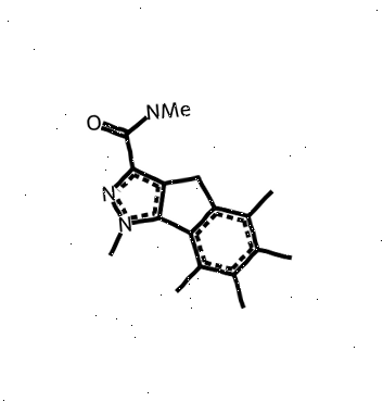 CNC(=O)c1nn(C)c2c1Cc1c(C)c(C)c(C)c(C)c1-2